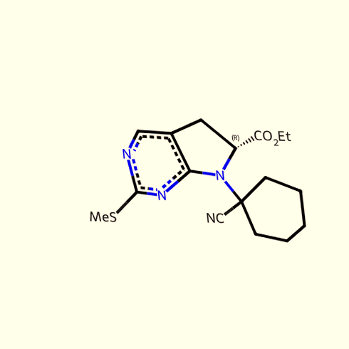 CCOC(=O)[C@H]1Cc2cnc(SC)nc2N1C1(C#N)CCCCC1